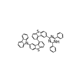 c1ccc(C2=NC(c3ccc4sc5cccc(-c6cccc7sc8ccc(-n9c%10ccccc%10c%10ccccc%109)cc8c67)c5c4c3)=NC(c3ccccc3)N2)cc1